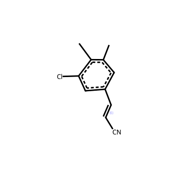 Cc1cc(/C=C/C#N)cc(Cl)c1C